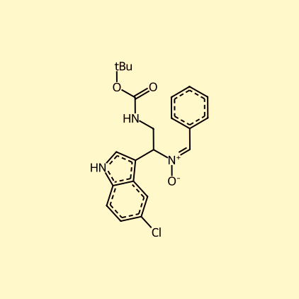 CC(C)(C)OC(=O)NCC(c1c[nH]c2ccc(Cl)cc12)/[N+]([O-])=C\c1ccccc1